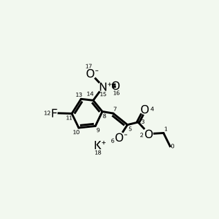 CCOC(=O)C([O-])=Cc1ccc(F)cc1[N+](=O)[O-].[K+]